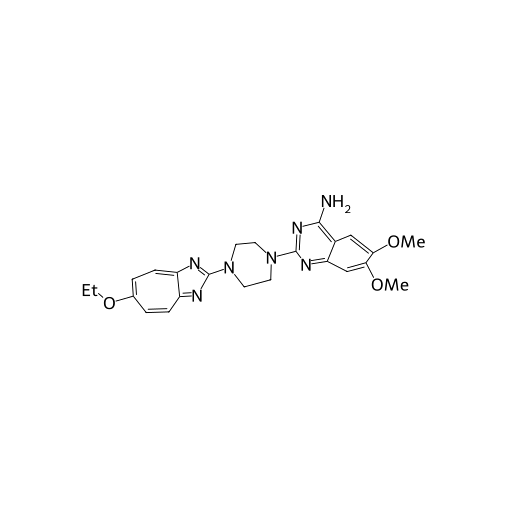 CCOc1ccc2nc(N3CCN(c4nc(N)c5cc(OC)c(OC)cc5n4)CC3)nc-2cc1